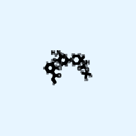 C=CC(=O)c1cccc(Sc2ncc(N3CCC(C)(NC(=O)OC(C)(C)C)CC3)nc2N)c1Cl